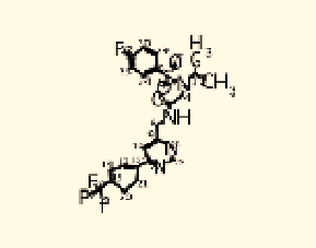 CC(C)N(CC(=O)NCc1cc(C2=CCC(C(F)(F)F)CC2)ncn1)S(=O)(=O)c1ccc(F)cc1